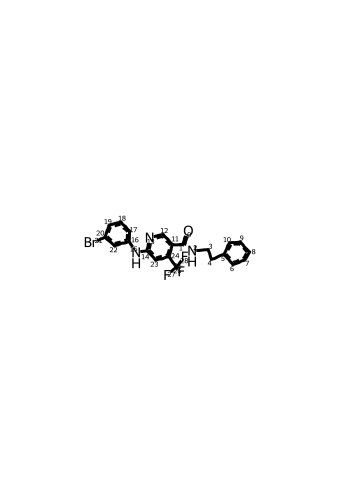 O=C(NCCc1ccccc1)c1cnc(Nc2cccc(Br)c2)cc1C(F)(F)F